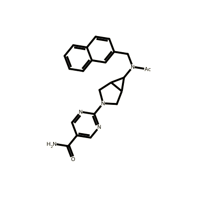 CC(=O)N(Cc1ccc2ccccc2c1)C1C2CN(c3ncc(C(N)=O)cn3)CC21